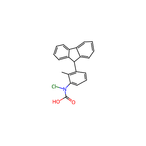 Cc1c(C2c3ccccc3-c3ccccc32)cccc1N(Cl)C(=O)O